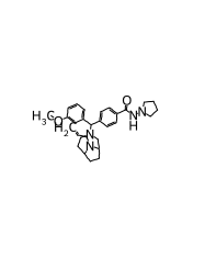 C=CCN1C2CCC1CN(C(c1ccc(C(=O)NN3CCCC3)cc1)c1cccc(OC)c1)CC2